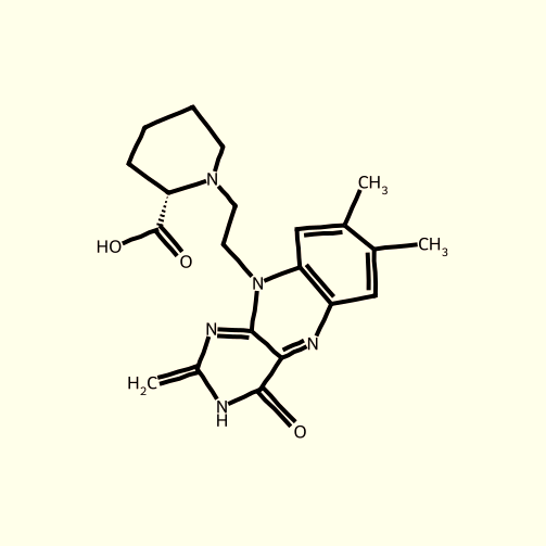 C=c1nc2c(c(=O)[nH]1)=Nc1cc(C)c(C)cc1N2CCN1CCCC[C@H]1C(=O)O